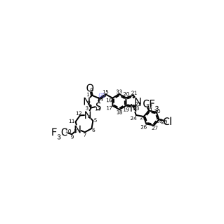 O=C1N=C(N2CCCN(CC(F)(F)F)CC2)S/C1=C\c1ccc2c(cnn2Cc2ccc(Cl)cc2C(F)(F)F)c1